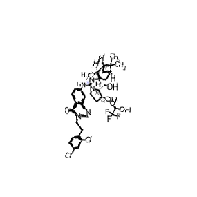 C[C@@H]1[C@@H](/N=C(/Nc2ccc3c(=O)n(CCc4ccc(Cl)cc4Cl)cnc3c2)N2CC[C@H](O)[C@H]2CO)C[C@@H]2C[C@H]1C2(C)C.O=C(O)C(F)(F)F